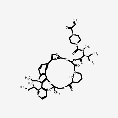 C=CC(=O)N1CCN(C(=O)N(C)[C@H](C(=O)NC2Cc3nc(cs3)-c3ccc4c(c3)c(c(-c3cccnc3[C@H](C)OC)n4CC)CC(C)(C)COC(=O)[C@@H]3CCCN(N3)C2=O)C(C)C)CC1